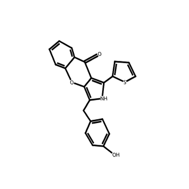 O=c1c2ccccc2oc2c(Cc3ccc(O)cc3)[nH]c(-c3cccs3)c12